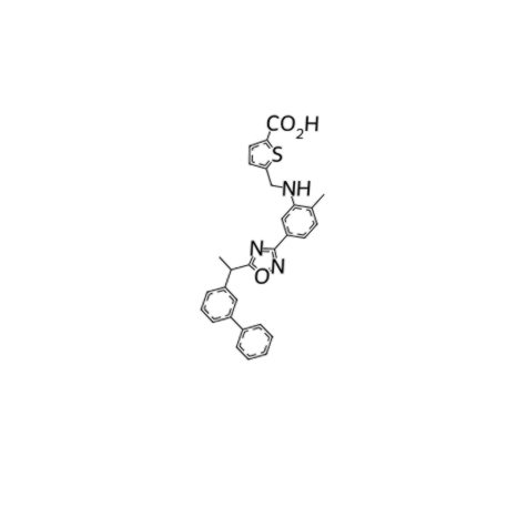 Cc1ccc(-c2noc(C(C)c3cccc(-c4ccccc4)c3)n2)cc1NCc1ccc(C(=O)O)s1